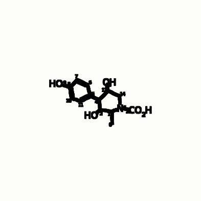 CC1C(O)C(c2ccc(O)cc2)C(O)CN1C(=O)O